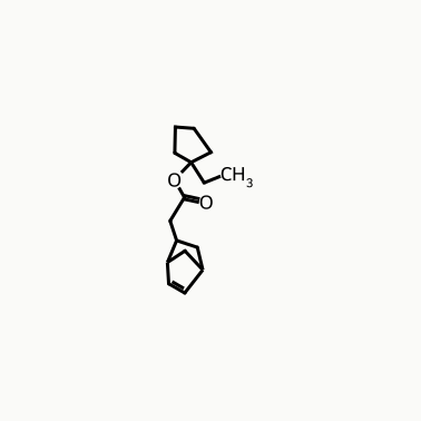 CCC1(OC(=O)CC2CC3C=CC2C3)CCCC1